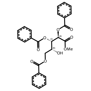 COC(=O)[C@H](OC(=O)c1ccccc1)[C@@H](OC(=O)c1ccccc1)[C@H](O)COC(=O)c1ccccc1